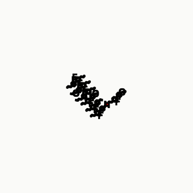 CCCC1CCC(c2ccc(C#N)cc2)C(F)(F)C1.CCCC1CCC(c2ccc(CC)cc2)C(F)(F)C1.CCCC1CCC(c2ccc(OC)cc2)C(F)(F)C1.CCCC1CCC(c2ccc(OCC)cc2)C(F)(F)C1.CCCCc1ccc(C2CCC(CCC)CC2(F)F)cc1.CCCOc1ccc(C2CCC(CCC)CC2(F)F)cc1.CCCc1ccc(C2CCC(CCC)CC2(F)F)cc1